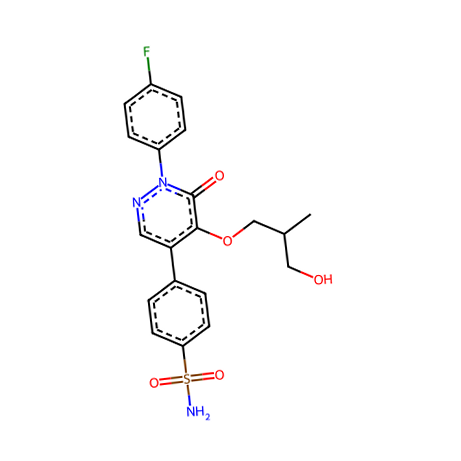 CC(CO)COc1c(-c2ccc(S(N)(=O)=O)cc2)cnn(-c2ccc(F)cc2)c1=O